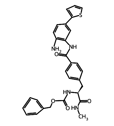 CNC(=O)[C@H](Cc1ccc(C(=O)Nc2cc(-c3cccs3)ccc2N)cc1)NC(=O)OCc1ccccc1